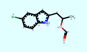 CC(Cc1cc2cc(Br)ccc2[nH]1)OC=O